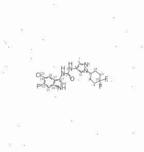 O=C(Nc1cnn(C2CCC(F)(F)CC2)c1)Nc1c[nH]c2cc(F)c(Cl)cc12